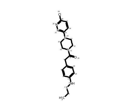 CCSNc1ccc(CC(=O)N2CCN(c3ccc(Cl)nn3)CC2)cc1